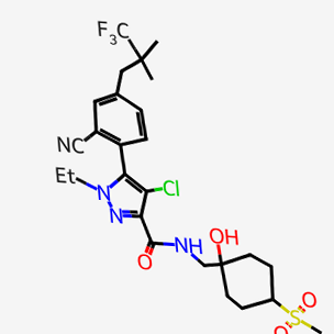 CCn1nc(C(=O)NCC2(O)CCC(S(C)(=O)=O)CC2)c(Cl)c1-c1ccc(CC(C)(C)C(F)(F)F)cc1C#N